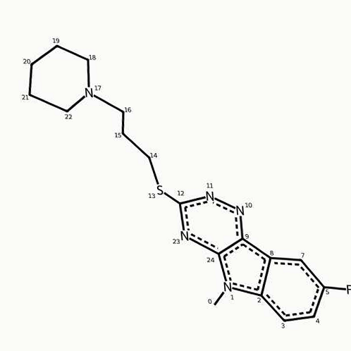 Cn1c2ccc(F)cc2c2nnc(SCCCN3CCCCC3)nc21